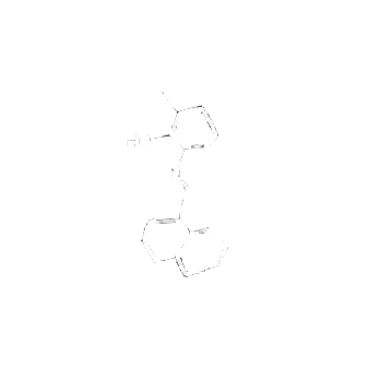 Cc1cccc(N=Cc2cccc3ccccc23)c1O